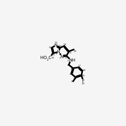 Cc1cc(CNc2nn3c(C(=O)O)cnc3cc2C)ccc1F